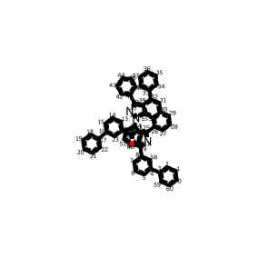 c1ccc(-c2cccc(-c3nc(-c4cccc(-c5ccccc5)c4)nc(-c4cccc5cc(-c6ccccc6)c6c(-c7ccccc7)nn(-c7ccccc7)c6c45)n3)c2)cc1